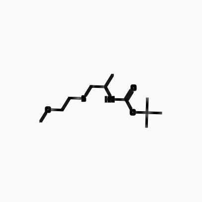 COCCSCC(C)NC(=O)OC(C)(C)C